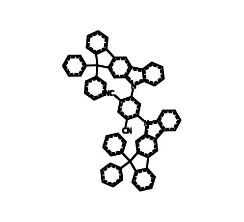 N#Cc1cc(C#N)c(-n2c3ccccc3c3cc4c(cc32)C(c2ccccc2)(c2ccccc2)c2ccccc2-4)cc1-n1c2ccccc2c2cc3c(cc21)C(c1ccccc1)(c1ccccc1)c1ccccc1-3